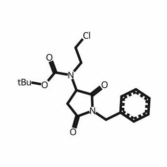 CC(C)(C)OC(=O)N(CCCl)C1CC(=O)N(Cc2ccccc2)C1=O